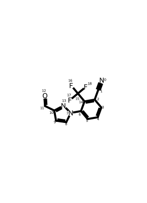 N#Cc1cccc(-n2ccc(C=O)n2)c1C(F)(F)F